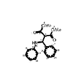 COC(=O)C(C(=O)OC)C(Nc1ccccc1)c1ccccc1